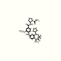 COc1cc(C(=O)NC2CCC[C@H]2C(N)=O)ccc1Nc1ncc2c(n1)N(C1CCCC1)CC(F)(F)C(=O)N2C